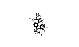 COC(=O)c1ccc2c(c1)C(Oc1ccc(=O)[nH]n1)=C(C=O)C(C)(C)O2